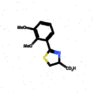 COc1cccc(C2=NC(C(=O)O)CS2)c1OC